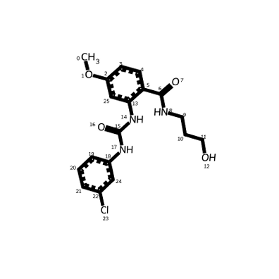 COc1ccc(C(=O)NCCCO)c(NC(=O)Nc2cccc(Cl)c2)c1